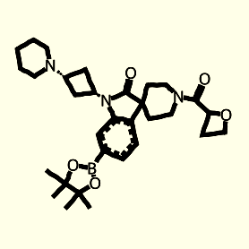 CC1(C)OB(c2ccc3c(c2)N([C@H]2C[C@@H](N4CCCCC4)C2)C(=O)C32CCN(C(=O)C3CCO3)CC2)OC1(C)C